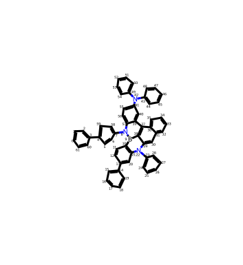 c1ccc(-c2ccc(N3B4c5ccc(-c6ccccc6)cc5N(c5ccccc5)c5cc6ccccc6c(c54)-c4cc(N(c5ccccc5)c5ccccc5)ccc43)cc2)cc1